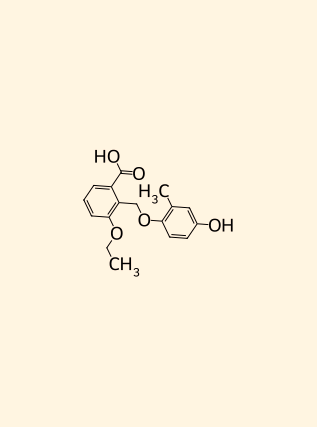 CCOc1cccc(C(=O)O)c1COc1ccc(O)cc1C